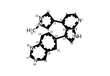 Cn1cc(-c2ccnc3[nH]cc(-c4ccc5ncncc5c4)c23)cn1